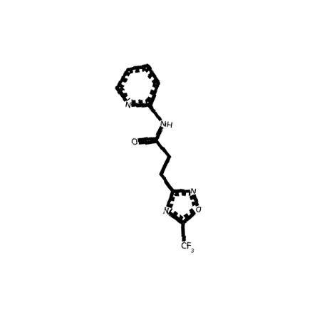 O=C(CCc1noc(C(F)(F)F)n1)Nc1ccccn1